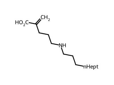 C=C(CCCNCCCCCCCCCC)C(=O)O